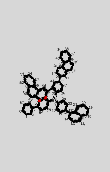 c1ccc(-c2ccc(N(c3ccc(-c4cccc5ccccc45)cc3)c3ccc(-c4ccc5c(ccc6ccccc65)c4)cc3-c3ccc4ccc5ccccc5c4c3)cc2)cc1